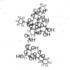 CC1CC(C(=O)NCCO[C@H]2OC(CO)[C@@H](O)C(OCc3cc4ccccc4oc3=O)C2O)C[C@@H](O[C@@H]2OC(CO)[C@H](O)C(O[C@@H](CC3CCCCC3)C(=O)O)C2OC(=O)c2ccccc2)C1O[C@@H]1OC(C)[C@@H](O)C(O)C1O